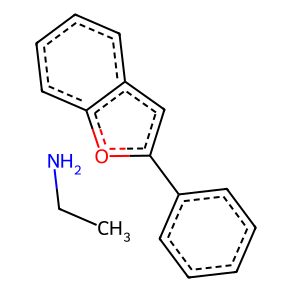 CCN.c1ccc(-c2cc3ccccc3o2)cc1